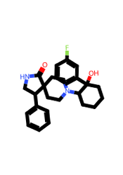 O=C1NCC(c2ccccc2)C12CCN(C1CCCCC1(O)c1cccc(F)c1)CC2